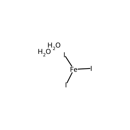 O.O.[I][Fe]([I])[I]